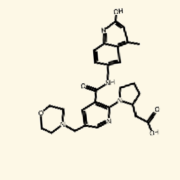 Cc1cc(O)nc2ccc(NC(=O)c3cc(CN4CCOCC4)cnc3N3CCCC3CC(=O)O)cc12